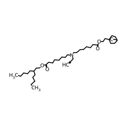 C#CCN(CCCCCCCC(=O)OCCC(CCCCC)CCCCC)CCCCCCCC(=O)OCCC12CCC(CC1)CC2